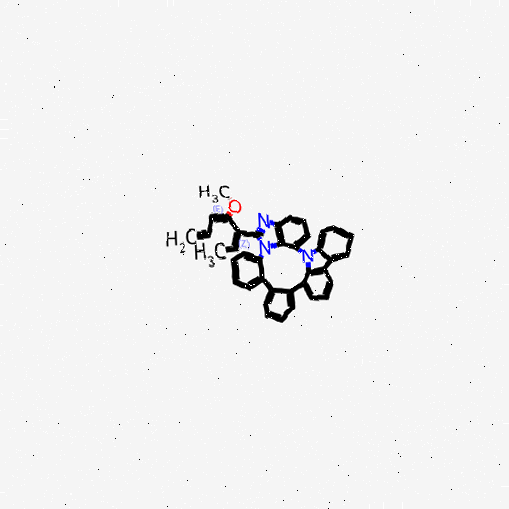 C=C/C=C(OC)\C(=C/C)c1nc2cccc3c2n1c1ccccc1c1ccccc1c1cccc2c4ccccc4n3c12